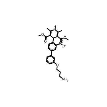 COC(=O)C1=C(C)NC(C)=C(C(=O)OC)C1c1ccc(-c2cccc(OCCCN)c2)cc1[N+](=O)[O-]